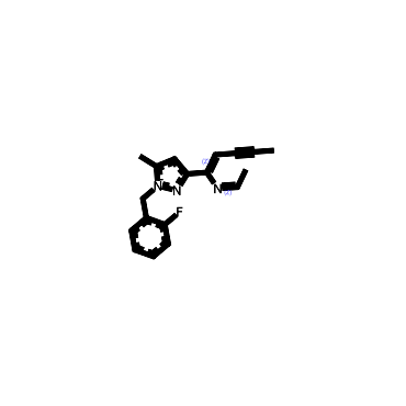 CC#C/C=C(\N=C/C)c1cc(C)n(Cc2ccccc2F)n1